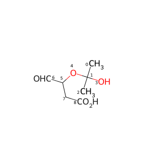 CC(C)(O)OC(C=O)CC(=O)O